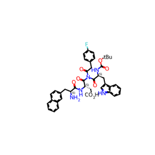 CC(C)(C)OC(=O)N[C@@H](Cc1c[nH]c2ccccc12)C(=O)N(C(=O)Cc1ccc(F)cc1)C(=O)[C@H](CC(=O)O)NC(=O)[C@@H](N)Cc1ccc2ccccc2c1